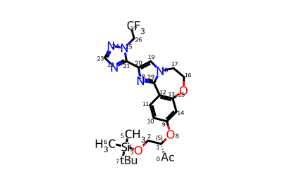 CC(=O)[C@H](CO[Si](C)(C)C(C)(C)C)Oc1ccc2c(c1)OCCn1cc(-c3ncnn3CC(F)(F)F)nc1-2